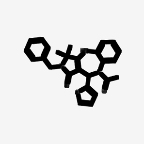 CC(=O)N1c2ccccc2NC2=C(C(=O)N(Cc3ccccc3)C2(C)C)C1c1ccco1